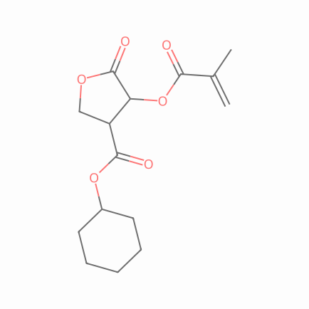 C=C(C)C(=O)OC1C(=O)OCC1C(=O)OC1CCCCC1